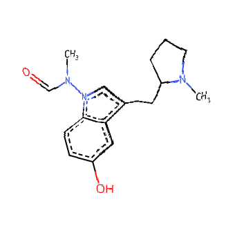 CN1CCCC1Cc1cn(N(C)C=O)c2ccc(O)cc12